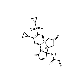 C=CC(=O)NC1([C@H]2CCC(=O)C2)C=CNN1c1ccc(S(=O)(=O)C2CC2)c(C2CC2)c1